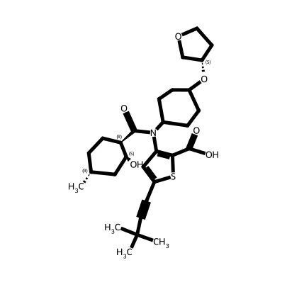 C[C@@H]1CC[C@@H](C(=O)N(c2cc(C#CC(C)(C)C)sc2C(=O)O)C2CCC(O[C@H]3CCOC3)CC2)[C@@H](O)C1